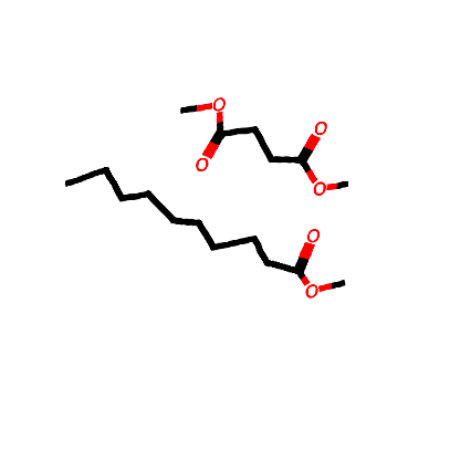 CCCCCCCCCC(=O)OC.COC(=O)CCC(=O)OC